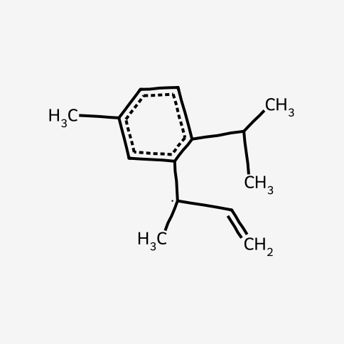 C=C[C](C)c1cc(C)ccc1C(C)C